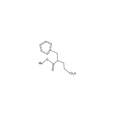 CC(C)(C)OC(=O)C(CCC(=O)O)Cc1ccccc1